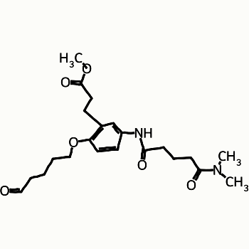 COC(=O)CCc1cc(NC(=O)CCCC(=O)N(C)C)ccc1OCCCCC=O